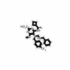 C=Nc1nc(C(=O)O)nc(N[C@H](C)C2CCC2)c1N(CNCc1ccccc1)Cc1ccc(C(F)(F)F)cc1